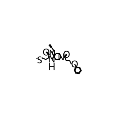 C#CCN1C(=O)C(CCSC)NC12CCN(C(=O)CCCOc1ccccc1)CC2